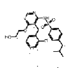 CC(C)Cc1ccc(S(=O)(=O)Nc2ncnc(OCCO)c2Cc2ccccc2Cl)cc1